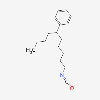 CCCCC(CCCCCN=C=O)c1ccccc1